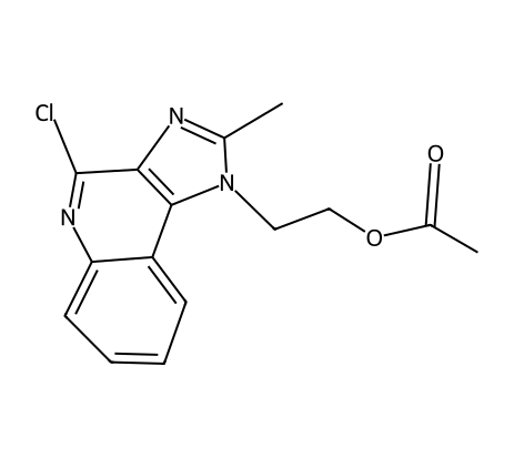 CC(=O)OCCn1c(C)nc2c(Cl)nc3ccccc3c21